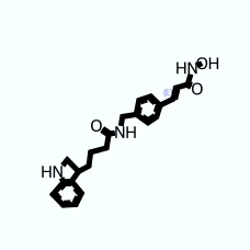 O=C(/C=C/c1ccc(CNC(=O)CCCC2CNc3ccccc32)cc1)NO